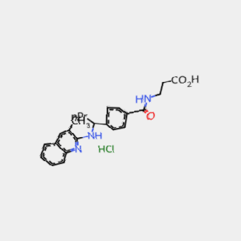 CCCC(Nc1nc2ccccc2cc1C)c1ccc(C(=O)NCCC(=O)O)cc1.Cl